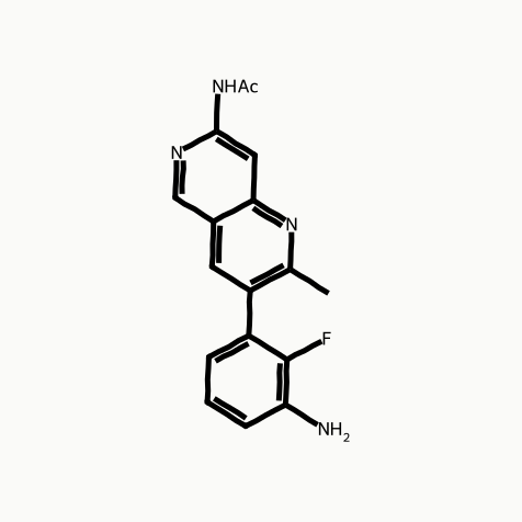 CC(=O)Nc1cc2nc(C)c(-c3cccc(N)c3F)cc2cn1